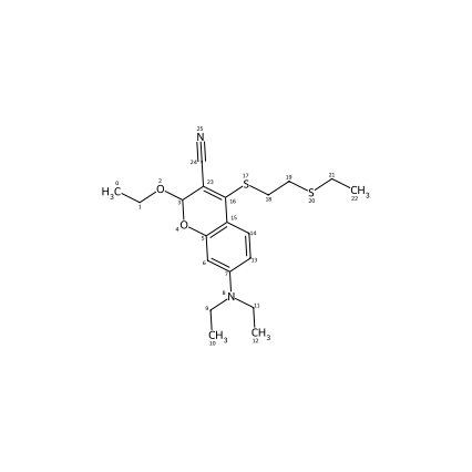 CCOC1Oc2cc(N(CC)CC)ccc2C(SCCSCC)=C1C#N